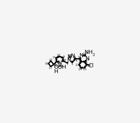 Nc1nc(-c2cn(Cc3cccc(C4(O)CCC4)[n+]3O)nn2)c2cccc(Cl)c2n1